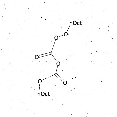 CCCCCCCCOOC(=O)OC(=O)OCCCCCCCC